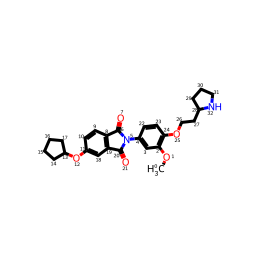 COc1cc(N2C(=O)c3ccc(OC4CCCC4)cc3C2=O)ccc1OCCC1CCCN1